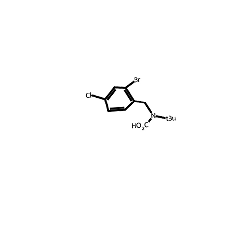 CC(C)(C)N(Cc1ccc(Cl)cc1Br)C(=O)O